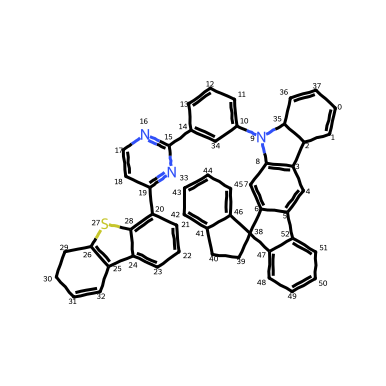 C1=CC2c3cc4c(cc3N(c3cccc(-c5nccc(-c6cccc7c8c(sc67)CCC=C8)n5)c3)C2C=C1)C1(CCc2ccccc21)c1ccccc1-4